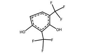 Oc1ccc(C(F)(F)F)c(O)c1C(F)(F)F